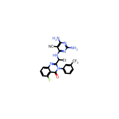 CCC(Nc1nc(N)nc(N)c1C#N)c1nc2cccc(F)c2c(=O)n1-c1cccc(C(F)(F)F)c1